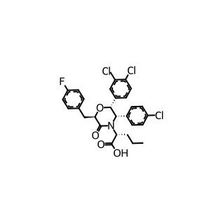 CCC[C@H](C(=O)O)N1C(=O)[C@@H](Cc2ccc(F)cc2)O[C@H](c2ccc(Cl)c(Cl)c2)[C@@H]1c1ccc(Cl)cc1